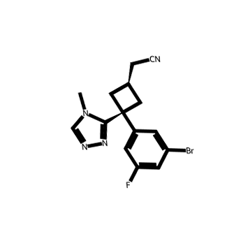 Cn1cnnc1[C@]1(c2cc(F)cc(Br)c2)C[C@H](CC#N)C1